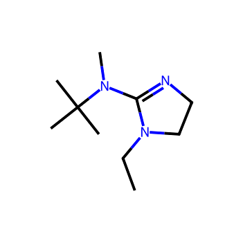 CCN1CCN=C1N(C)C(C)(C)C